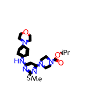 CSc1nc(Nc2ccc(N3CCOCC3)cc2)cc(N2CCN(C(=O)OC(C)C)CC2)n1